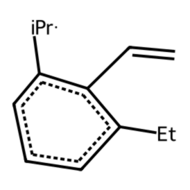 C=Cc1c(CC)cccc1[C](C)C